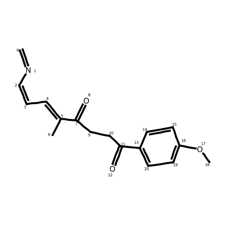 C=N/C=C\C=C(/C)C(=O)CCC(=O)c1ccc(OC)cc1